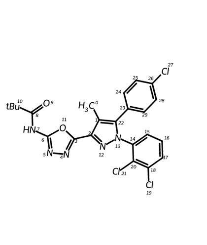 Cc1c(-c2nnc(NC(=O)C(C)(C)C)o2)nn(-c2cccc(Cl)c2Cl)c1-c1ccc(Cl)cc1